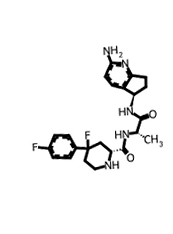 C[C@H](NC(=O)[C@H]1CC(F)(c2ccc(F)cc2)CCN1)C(=O)N[C@@H]1CCc2nc(N)ccc21